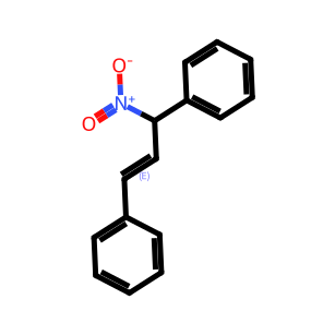 O=[N+]([O-])C(/C=C/c1ccccc1)c1ccccc1